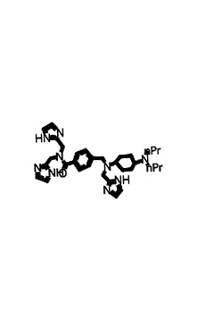 CCCN(CCC)C1CCC(N(Cc2ccc(C(=O)N(Cc3ncc[nH]3)Cc3ncc[nH]3)cc2)Cc2ncc[nH]2)CC1